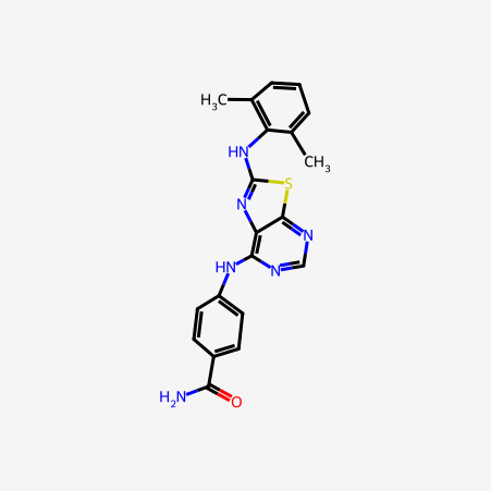 Cc1cccc(C)c1Nc1nc2c(Nc3ccc(C(N)=O)cc3)ncnc2s1